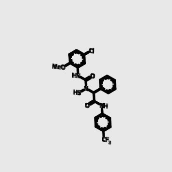 COc1ccc(Cl)cc1NC(=O)N(S)C(C(=O)Nc1ccc(C(F)(F)F)cc1)c1ccccc1